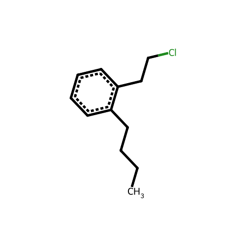 CCCCc1ccccc1CCCl